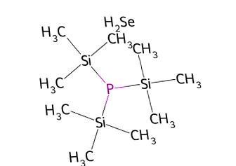 C[Si](C)(C)P([Si](C)(C)C)[Si](C)(C)C.[SeH2]